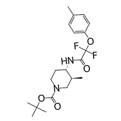 Cc1ccc(OC(F)(F)C(=O)N[C@H]2CCN(C(=O)OC(C)(C)C)C[C@@H]2C)cc1